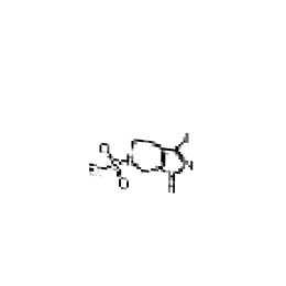 CCS(=O)(=O)N1CCc2c(I)n[nH]c2C1